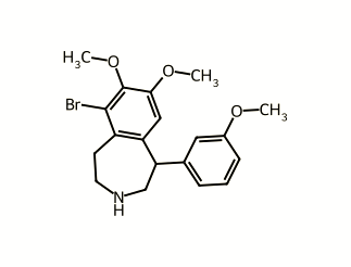 COc1cccc(C2CNCCc3c2cc(OC)c(OC)c3Br)c1